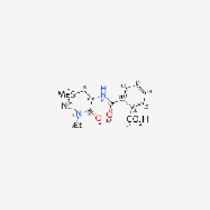 CCN(C#N)C(=O)C(CSC)NC(=O)c1ccccc1C(=O)O